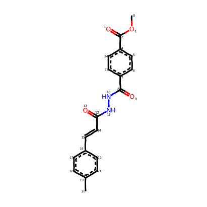 COC(=O)c1ccc(C(=O)NNC(=O)/C=C/c2ccc(C)cc2)cc1